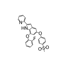 CS(=O)(=O)c1ccc(Oc2cc(Oc3ccccc3F)c3[nH]c(-c4ccccn4)cc3c2)cc1